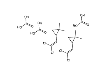 CC1(C)CC1C=C(Cl)Cl.CC1(C)CC1C=C(Cl)Cl.O=C(O)O.O=C(O)O.O=C(O)O